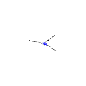 CCCCCCCCCCCCCN1C=CN(CCCCCCCCCCC)C1CCCCCCCCCCCC